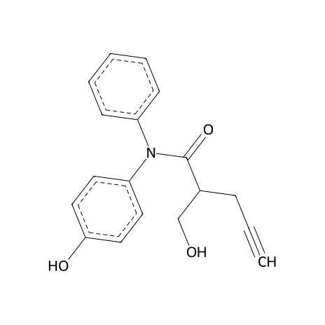 C#CCC(CO)C(=O)N(c1ccccc1)c1ccc(O)cc1